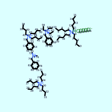 CCCCC[N+](CCCCC)(CCCCC)CCCCC.CCCC[N+](CCCC)(CCCC)CCCC.CCCC[N+](CCCC)(CCCC)Cc1ccccc1.CC[N+](CC)(CC)Cc1ccccc1.CN(C)Cc1ccccc1.Cl.[Cl-].[Cl-].[Cl-].[Cl-]